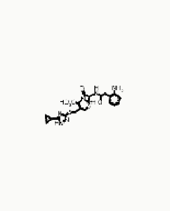 Nc1ccccc1CC(=O)NC1C(=O)N2C(C(=O)O)=C(CSc3n[nH]c(C4CC4)n3)CS[C@H]12